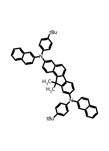 CC(C)(C)c1ccc(N(c2ccc3c(c2)C(C)(C)c2c-3ccc3cc(N(c4ccc(C(C)(C)C)cc4)c4ccc5ccccc5c4)ccc23)c2ccc3ccccc3c2)cc1